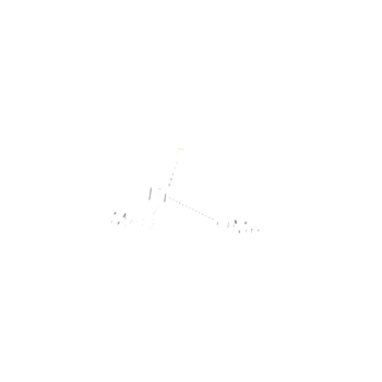 CO[SiH](F)OC